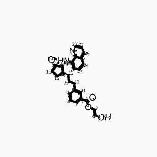 O=C(OCCO)c1cccc(CCC[C@H]2CCC(=O)[C@@H]2Nc2cccc3cccnc23)c1